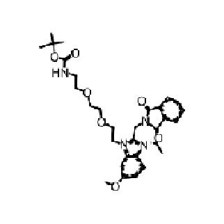 CC[n+]1c(CN2C(=O)c3ccccc3C2=O)n(CCOCCOCCNC(=O)OC(C)(C)C)c2cc(OC)ccc21